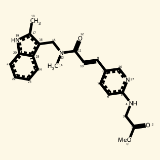 COC(=O)CNc1ccc(C=CC(=O)N(C)Cc2c(C)[nH]c3ccccc23)cn1